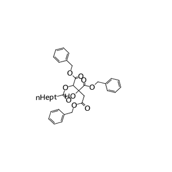 CCCCCCCC(=O)OC(C(=O)OCc1ccccc1)C(O)(CC(=O)OCc1ccccc1)C(=O)OCc1ccccc1